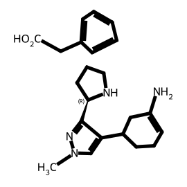 Cn1cc(C2CCC=C(N)C2)c([C@H]2CCCN2)n1.O=C(O)Cc1ccccc1